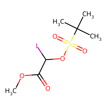 COC(=O)C(I)OS(=O)(=O)C(C)(C)C